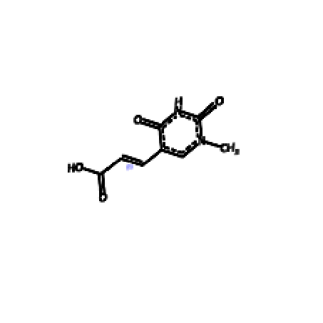 Cn1cc(/C=C/C(=O)O)c(=O)[nH]c1=O